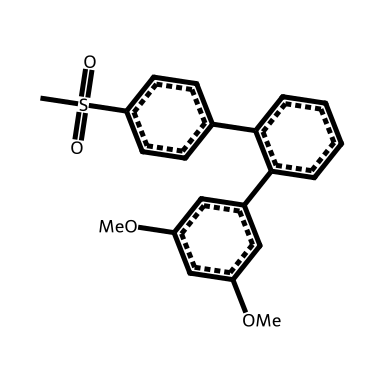 COc1cc(OC)cc(-c2ccccc2-c2ccc(S(C)(=O)=O)cc2)c1